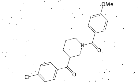 COc1ccc(C(=O)N2CCCC(C(=O)c3ccc(Cl)cc3)C2)cc1